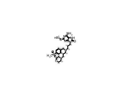 CCCCOc1nc(N)c2[nH]c(=O)n(CCCN(CCCN3CCOCC3)Cc3ccc(S(C)(=O)=O)cc3)c2n1